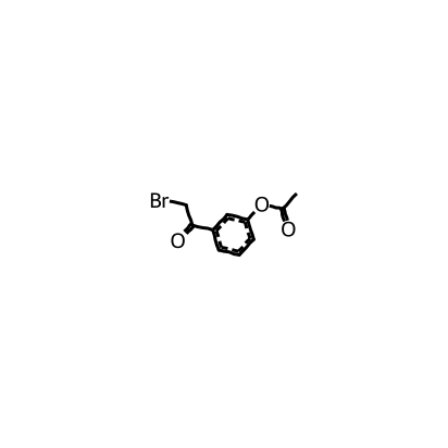 CC(=O)Oc1cccc(C(=O)CBr)c1